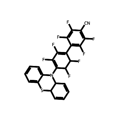 N#Cc1c(F)c(F)c(C2=C(F)C(F)=C(N3c4ccccc4SC4C=CC=CC43)C(F)C2F)c(F)c1F